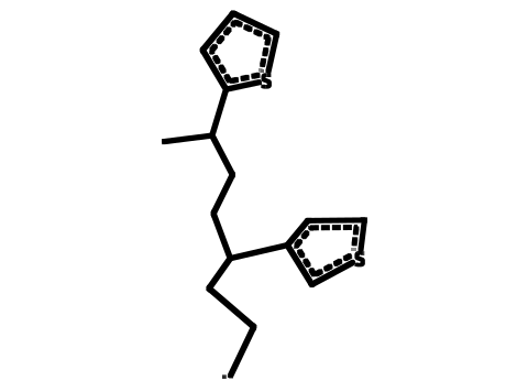 [CH2]CCC(CCC(C)c1cccs1)c1ccsc1